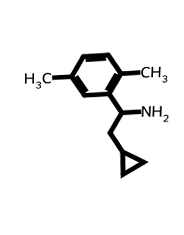 Cc1ccc(C)c(C(N)CC2CC2)c1